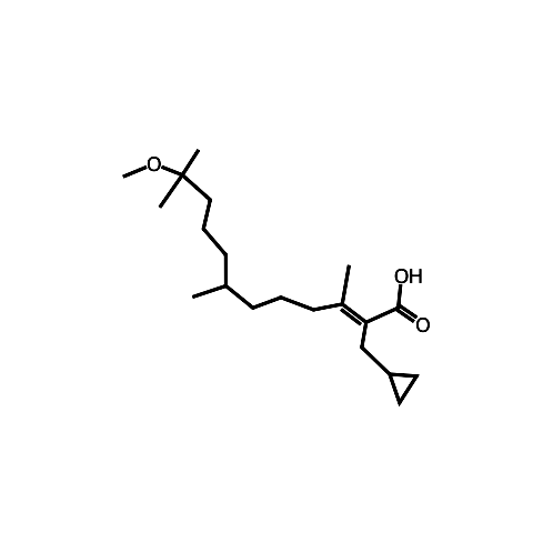 COC(C)(C)CCCC(C)CCCC(C)=C(CC1CC1)C(=O)O